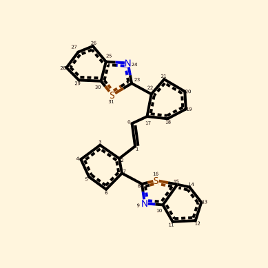 C(=C\c1ccccc1-c1nc2ccccc2s1)/c1ccccc1-c1nc2ccccc2s1